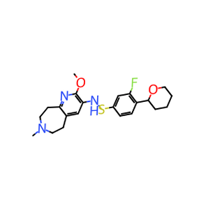 COc1nc2c(cc1NSc1ccc(C3CCCCO3)c(F)c1)CCN(C)CC2